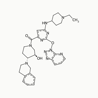 CCN1CCC(Nc2cc(C(=O)N3CC[C@@H](N4CCc5ccccc5C4)[C@H](O)C3)nc(On3nnc4cccnc43)n2)CC1